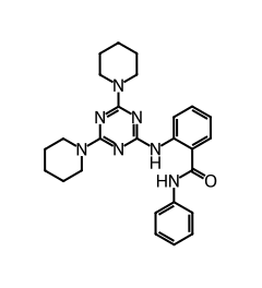 O=C(Nc1ccccc1)c1ccccc1Nc1nc(N2CCCCC2)nc(N2CCCCC2)n1